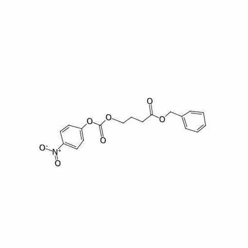 O=C(CCCOC(=O)Oc1ccc([N+](=O)[O-])cc1)OCc1ccccc1